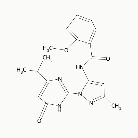 COc1ccccc1C(=O)Nc1cc(C)nn1-c1nc(C(C)C)cc(=O)[nH]1